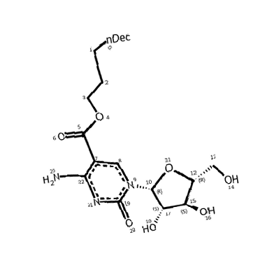 CCCCCCCCCCCCCOC(=O)c1cn([C@@H]2O[C@H](CO)[C@@H](O)[C@@H]2O)c(=O)nc1N